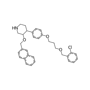 Clc1ccccc1COCCCOc1ccc(C2CCNCC2OCc2ccc3ccccc3c2)cc1